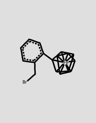 BrCc1ccccc1[C]12[CH]3[CH]4[CH]5[CH]1[Fe]45321678[CH]2[CH]1[CH]6[CH]7[CH]28